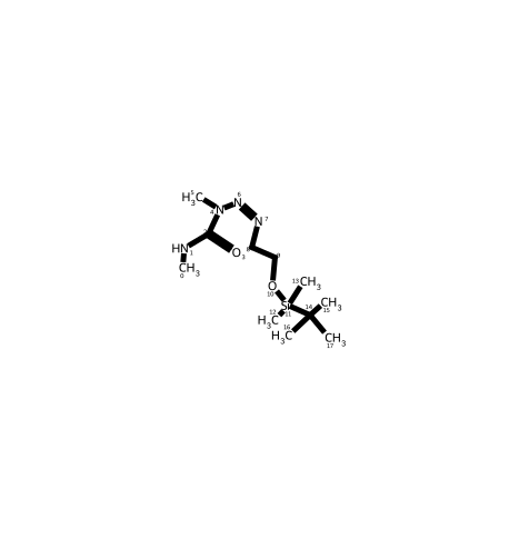 CNC(=O)N(C)/N=N\CCO[Si](C)(C)C(C)(C)C